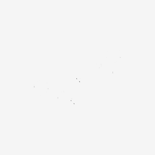 CN(CCC1COc2ccccc2O1)Cc1cc(-c2ccccc2)ccn1